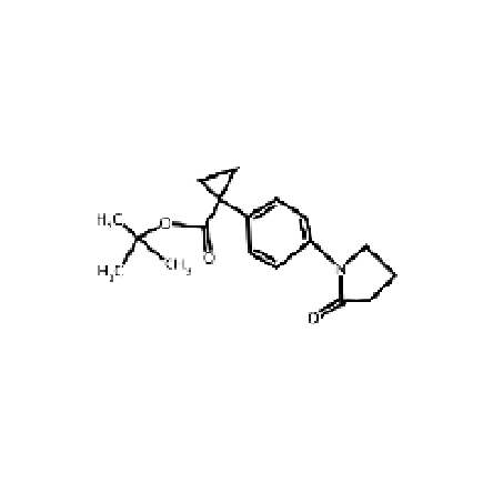 CC(C)(C)OC(=O)C1(c2ccc(N3CCCC3=O)cc2)CC1